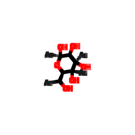 CC(=O)C(O)[C@H]1O[C@](O)(C(C)=O)[C@@H](O)[C@](O)(C(C)=O)[C@@]1(O)C(C)=O